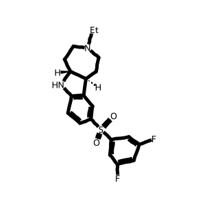 CCN1CC[C@H]2Nc3ccc(S(=O)(=O)c4cc(F)cc(F)c4)cc3[C@@H]2CC1